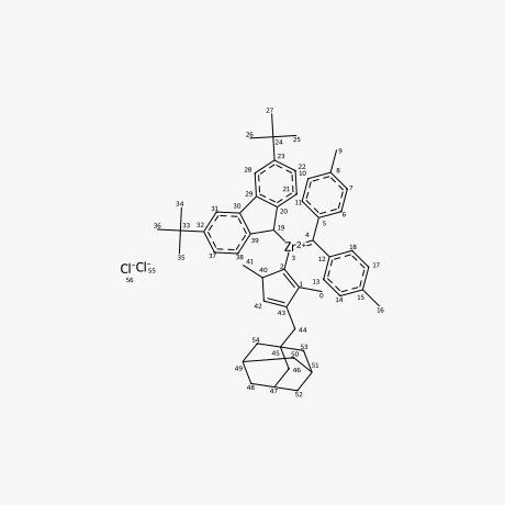 CC1=[C]([Zr+2](=[C](c2ccc(C)cc2)c2ccc(C)cc2)[CH]2c3ccc(C(C)(C)C)cc3-c3cc(C(C)(C)C)ccc32)C(C)C=C1CC12CC3CC(CC(C3)C1)C2.[Cl-].[Cl-]